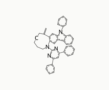 C=C1CCCCCN(c2nc(-c3ccccc3)cc(-c3ccccc3)n2)c2cc3c4ccccc4n(-c4ccccc4)c3cc21